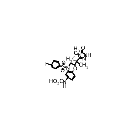 Cn1c(C(C)(C)C2CN(S(=O)(=O)c3ccc(F)cc3)c3cc(NC(=O)O)ccc3O2)n[nH]c1=O